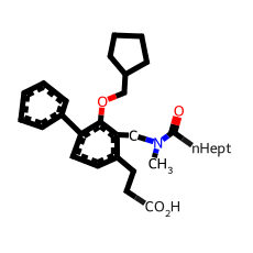 CCCCCCCC(=O)N(C)Cc1c(CCC(=O)O)ccc(-c2ccccc2)c1OCC1CCCC1